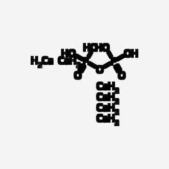 O=P(O)(O)OP(=O)(O)O.[CaH2].[CaH2].[CaH2].[CaH2].[CaH2].[CaH2]